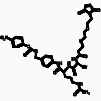 CC(C)[C@H](NC(=O)CCOCCOCCN1C(=O)C=CC1=O)C(=O)N[C@@H](CCCNC(N)=O)C(=O)Nc1ccc(COC(=O)Oc2ccc([N+](=O)[O-])cc2)cc1